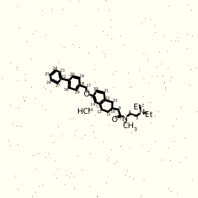 CCN(CC)CCN(C)C(=O)CC1CCc2cc(OCc3ccc(-c4ccccc4)cc3)ccc2C1.Cl